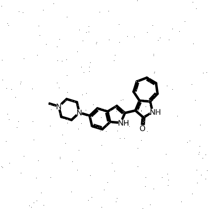 CN1CCN(c2ccc3[nH]c(-c4c5cccccc-5[nH]c4=O)cc3c2)CC1